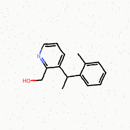 Cc1ccccc1C(C)c1cccnc1CO